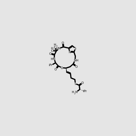 CC(C)C1NC(=O)C(C)(C)NC(=O)c2csc(n2)CNC(=O)C[C@@H](/C=C/CCSC(=O)[C@@H](N)C(C)C)OC1=O